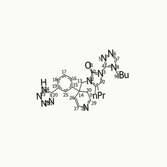 CCCc1cn(-c2nncn2C(C)CC)c(=O)n1CC1(c2cccc(-c3nnn[nH]3)c2)C=CN=CC1